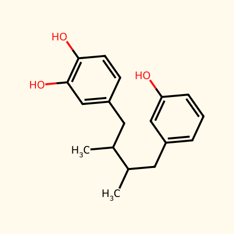 CC(Cc1cccc(O)c1)C(C)Cc1ccc(O)c(O)c1